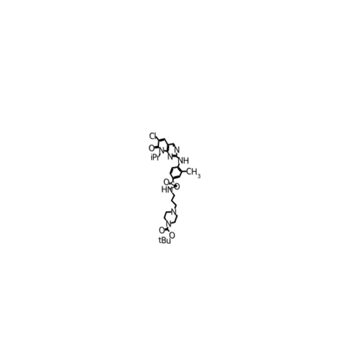 Cc1cc(S(=O)(=O)NCCCN2CCN(C(=O)OC(C)(C)C)CC2)ccc1Nc1ncc2cc(Cl)c(=O)n(C(C)C)c2n1